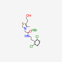 Br.CC1=C(CCO)SCN1CC(=O)NCCc1c(Cl)cccc1Cl